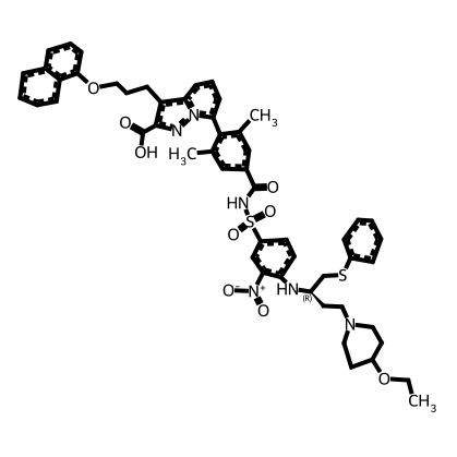 CCOC1CCN(CC[C@H](CSc2ccccc2)Nc2ccc(S(=O)(=O)NC(=O)c3cc(C)c(-c4cccc5c(CCCOc6cccc7ccccc67)c(C(=O)O)nn45)c(C)c3)cc2[N+](=O)[O-])CC1